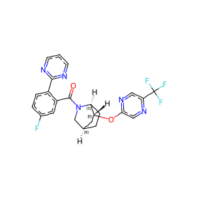 O=C(c1cc(F)ccc1-c1ncccn1)N1C[C@@H]2CC[C@H]1[C@H](Oc1cnc(C(F)(F)F)cn1)C2